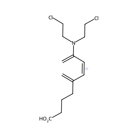 C=C(/C=C\C(=C)N(CCCl)CCCl)CCCC(=O)O